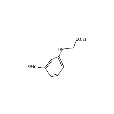 CCOC(=O)CNc1cccc(C=O)c1